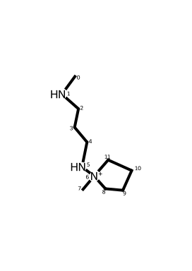 CNCCCN[N+]1(C)CCCC1